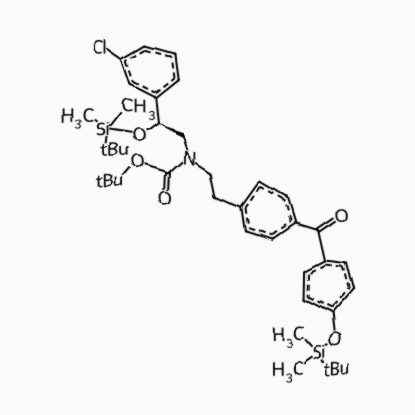 CC(C)(C)OC(=O)N(CCc1ccc(C(=O)c2ccc(O[Si](C)(C)C(C)(C)C)cc2)cc1)C[C@@H](O[Si](C)(C)C(C)(C)C)c1cccc(Cl)c1